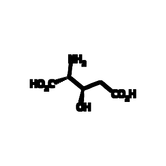 N[C@@H](C(=O)O)[C@H](O)CC(=O)O